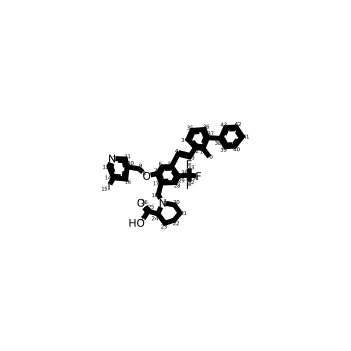 Cc1c(/C=C/c2cc(OCc3cncc(I)c3)c(CN3CCCCC3C(=O)O)cc2C(F)(F)F)cccc1-c1ccccc1